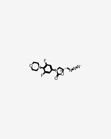 [N-]=[N+]=NC[C@H]1CN(c2cc(F)c(N3CCOCC3)c(F)c2)C(=O)O1